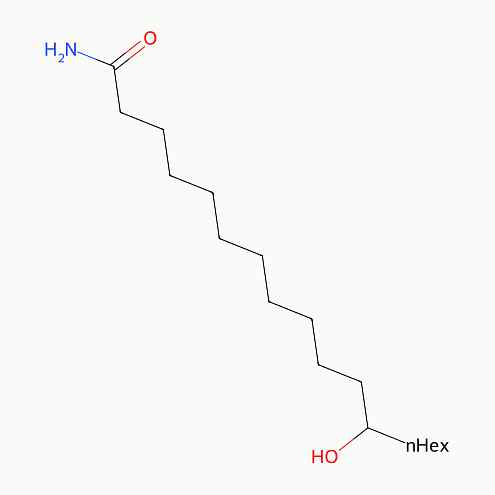 CCCCCCC(O)CCCCCCCCCCC(N)=O